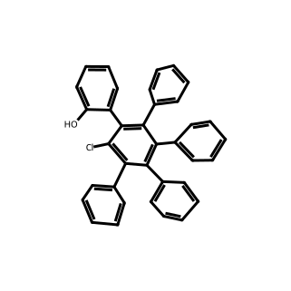 Oc1ccccc1-c1c(Cl)c(-c2ccccc2)c(-c2ccccc2)c(-c2ccccc2)c1-c1ccccc1